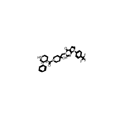 O=C([C@@H]1CCNC[C@H]1c1ccccc1)N1CCC(O)(Cn2cnc3c(ccn3-c3ccc(C(F)(F)F)cc3)c2=O)CC1